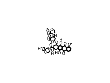 COc1cccc2c1C(=O)c1c(O)c3c(c(O)c1C2=O)C[C@@](O)(C(=O)N1CCOC2(CNC2)C1)C[C@@H]3O[C@H]1C[C@H]2[C@H](O[C@@H]3[C@@H](OC)OCCN32)[C@H](C)O1